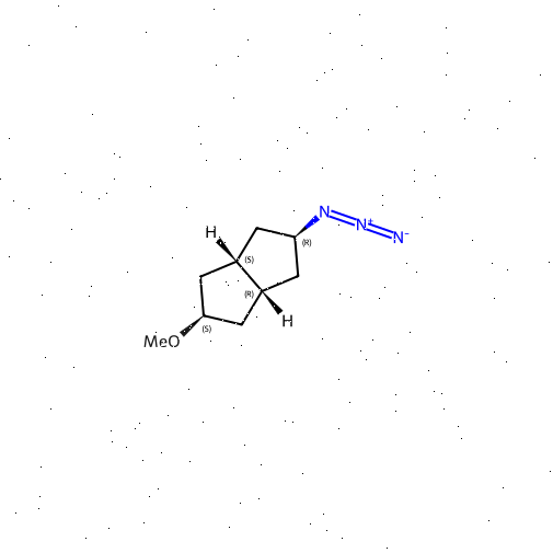 CO[C@@H]1C[C@H]2C[C@H](N=[N+]=[N-])C[C@H]2C1